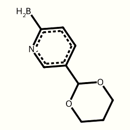 Bc1ccc(C2OCCCO2)cn1